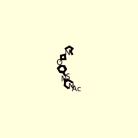 CC(=O)N1CCc2nc(-c3ccc(O[C@H]4C[C@H](N5CCCC5C)C4)cc3)sc2C1